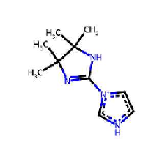 CC1(C)N=C([n+]2cc[nH]c2)NC1(C)C